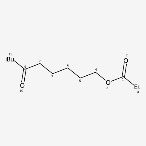 CCC(=O)OCCCCCC(=O)C(C)CC